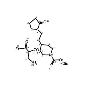 CC(C)(C)OC(=O)N1CCC(CCN2CCCC2=O)CC1.CCC(=O)C(CN)C(=O)O